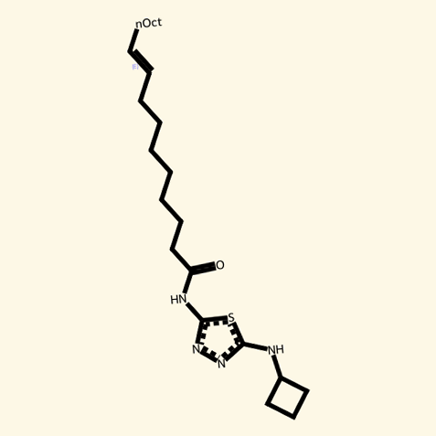 CCCCCCCC/C=C/CCCCCCCC(=O)Nc1nnc(NC2CCC2)s1